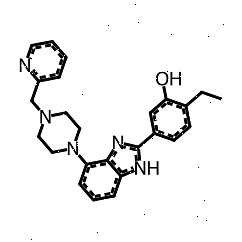 CCc1ccc(-c2nc3c(N4CCN(Cc5ccccn5)CC4)cccc3[nH]2)cc1O